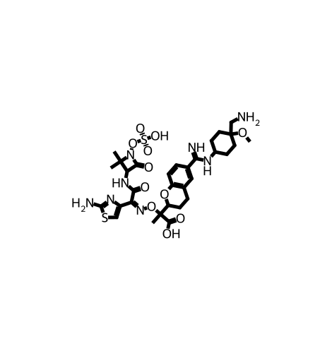 COC1(CN)CCC(NC(=N)c2ccc3c(c2)CCC(C(C)(ON=C(C(=O)NC2C(=O)N(OS(=O)(=O)O)C2(C)C)c2csc(N)n2)C(=O)O)O3)CC1